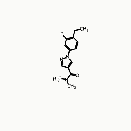 CCc1ccc(-n2cc(C(=O)N(C)C)cn2)cc1F